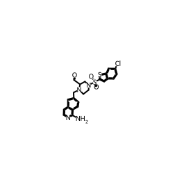 Nc1nccc2cc(CN3CCN(S(=O)(=O)c4cc5ccc(Cl)cc5s4)CC3C=O)ccc12